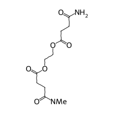 CNC(=O)CCC(=O)OCCOC(=O)CCC(N)=O